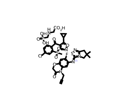 C#CCN1C(=O)COc2cc(F)c(/N=c3\snc4n3CC(C)(C)C4)cc21.CS(=O)(=O)c1cc(Cl)ccc1C(=O)c1cnoc1C1CC1.O=C(O)CNCP(=O)(O)O